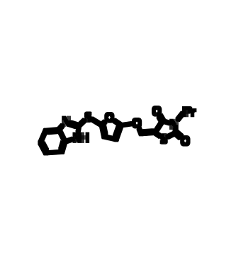 CC(C)N1C(=O)S/C(=C/Oc2ccc(Sc3nc4ccccc4[nH]3)o2)C1=O